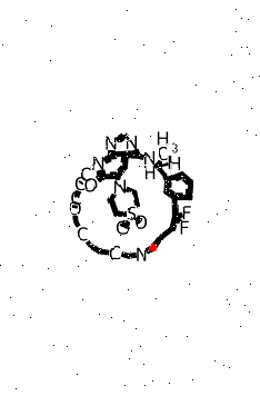 C[C@H]1Nc2ncnc3c2cc(N2CCS(=O)(=O)CC2)c(=O)n3CCCOCCCCCCN2CC(C2)CC(F)(F)c2cccc1c2